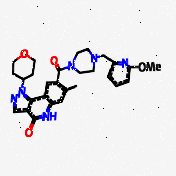 COc1cccc(CN2CCN(C(=O)c3cc4c(cc3C)[nH]c(=O)c3cnn(C5CCOCC5)c34)CC2)n1